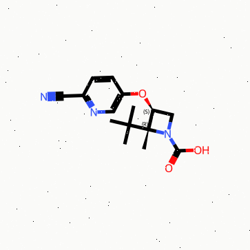 CC(C)(C)[C@]1(C)[C@@H](Oc2ccc(C#N)nc2)CN1C(=O)O